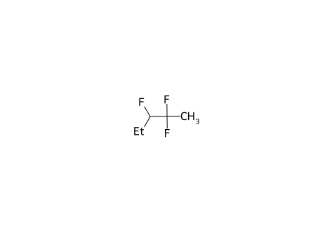 [CH2]CC(F)C(C)(F)F